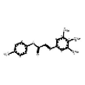 COc1cc(/C=C/C(=O)Oc2ccc([N+](=O)[O-])cc2)cc(OC)c1OC